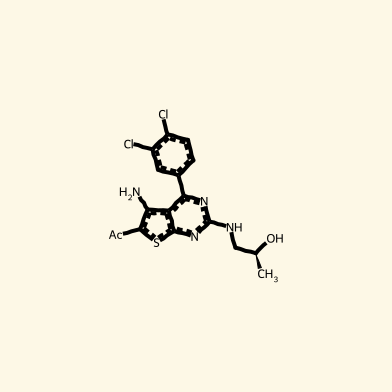 CC(=O)c1sc2nc(NC[C@H](C)O)nc(-c3ccc(Cl)c(Cl)c3)c2c1N